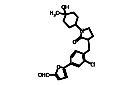 CC1(O)CCC(N2CCC(Cc3ccc(-c4ccc(C=O)o4)cc3Cl)C2=O)CC1